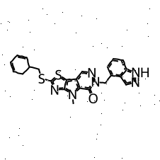 Cn1c2nc(SCC3C=CC=CC3)sc2c2cnn(Cc3cccc4[nH]ncc34)c(=O)c21